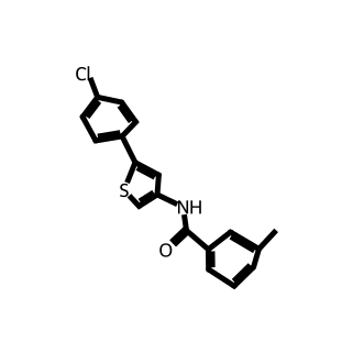 Cc1cccc(C(=O)Nc2csc(-c3ccc(Cl)cc3)c2)c1